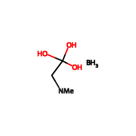 B.CNCC(O)(O)O